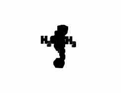 CC1CN(CC=Cc2ccccc2)CCC1N(C)c1nc2ccccc2s1